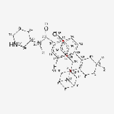 CC1(C)CCC(CN2C3CC2CN(Cc2ccc4c(c2F)CN(C2CCCNC2)C4=O)C3)=C(c2ccc(Cl)cc2)C1